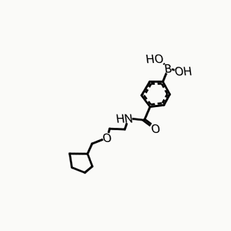 O=C(NCCOCC1CCCC1)c1ccc(B(O)O)cc1